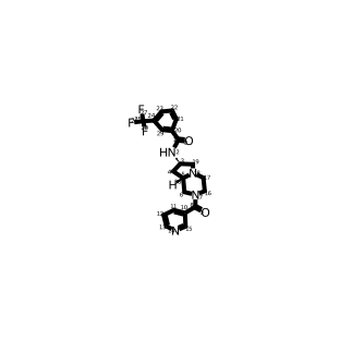 O=C(N[C@H]1C[C@H]2CN(C(=O)c3cccnc3)CCN2C1)c1cccc(C(F)(F)F)c1